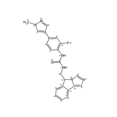 Cn1cc(-c2ccc(NC(=O)NCC3c4ccccc4-c4cncn43)c(F)c2)cn1